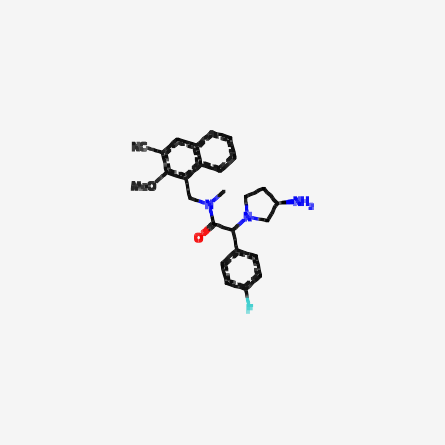 COc1c(C#N)cc2ccccc2c1CN(C)C(=O)C(c1ccc(F)cc1)N1CC[C@@H](N)C1